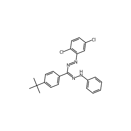 CC(C)(C)c1ccc(C(N=Nc2cc(Cl)ccc2Cl)=NNc2ccccc2)cc1